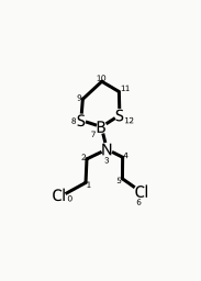 ClCCN(CCCl)B1SCCCS1